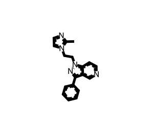 Cc1nccn1CCn1nc(-c2ccccc2)c2cnccc21